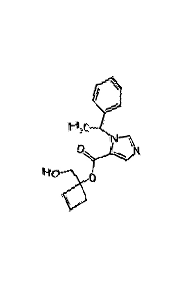 CC(c1ccccc1)n1cncc1C(=O)OC1(CO)CCC1